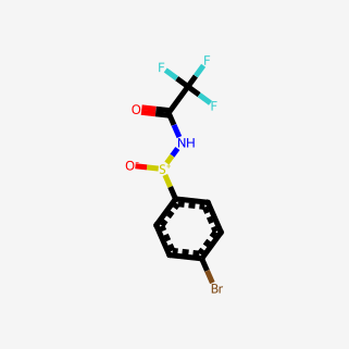 O=C(N[S+]([O-])c1ccc(Br)cc1)C(F)(F)F